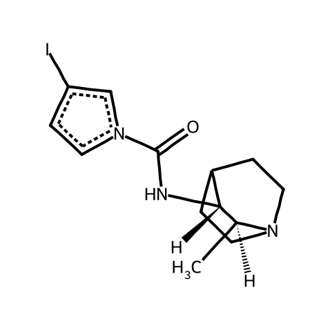 C[C@H]1[C@H](NC(=O)n2ccc(I)c2)C2CCN1CC2